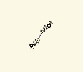 Cc1cccc(S(=O)(=O)NC(=O)NCC/C=C/CCNC(=O)NS(=O)(=O)c2cccc(C)c2)c1